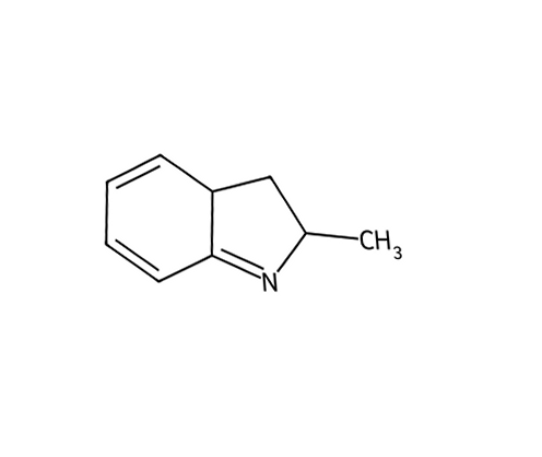 CC1CC2C=CC=CC2=N1